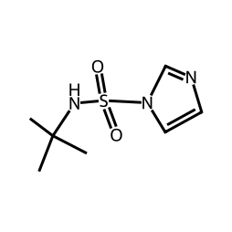 CC(C)(C)NS(=O)(=O)n1ccnc1